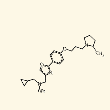 CCCN(Cc1coc(-c2ccc(OCCCN3CCCC3C)cc2)n1)CC1CC1